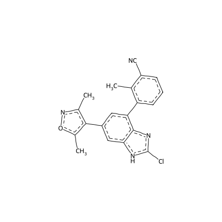 Cc1noc(C)c1-c1cc(-c2cccc(C#N)c2C)c2nc(Cl)[nH]c2c1